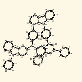 c1ccc(-c2cc(-c3ccccc3)nc(-c3ccc(-n4c5ccccc5c5cccc(-c6ccc(N(c7ccccc7)c7ccc8c(c7)c7ccccc7n8-c7ccccc7)cc6)c54)cc3)n2)cc1